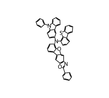 c1ccc(-c2nc3cc4oc5c(N(c6ccc7c(c6)c6ccccc6n7-c6ccccc6)c6cccc7c6sc6ccccc67)cccc5c4cc3o2)cc1